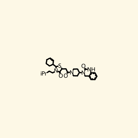 CC(C)CCN1C(=O)C(CC(=O)N2CCC(N3Cc4ccccc4NC3=O)CC2)SC1C1C=CCCC1